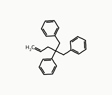 C=CCC(Cc1ccccc1)(Cc1ccccc1)c1ccccc1